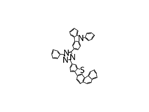 c1ccc(-c2nc(-c3ccc4c(c3)sc3c4ccc4ccc5ccccc5c43)nc(-c3ccc4c(c3)c3ccccc3n4-c3ccccc3)n2)cc1